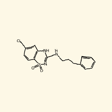 O=S1(=O)N=C(NCCCc2ccccc2)Nc2cc(Cl)ccc21